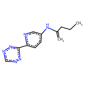 C=C(CCC)Nc1ccc(-c2nncnn2)nc1